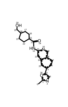 Cc1ncc(-c2ccc3cnc(NC(=O)C4CCC(CO)CC4)cc3c2)o1